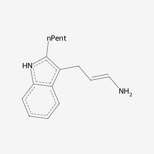 CCCCCc1[nH]c2ccccc2c1CC=CN